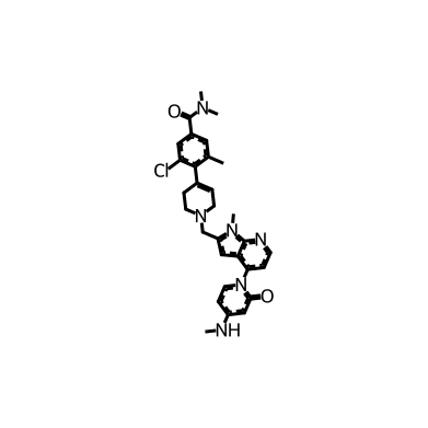 CNc1ccn(-c2ccnc3c2cc(CN2CC=C(c4c(C)cc(C(=O)N(C)C)cc4Cl)CC2)n3C)c(=O)c1